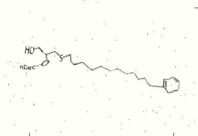 CCCCCCCCCCO[C@@H](CO)CSCCCCCCCCCCCCc1ccccc1